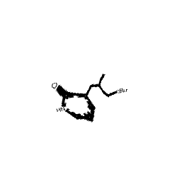 CC(Cc1ccc[nH]c1=O)CC(C)(C)C